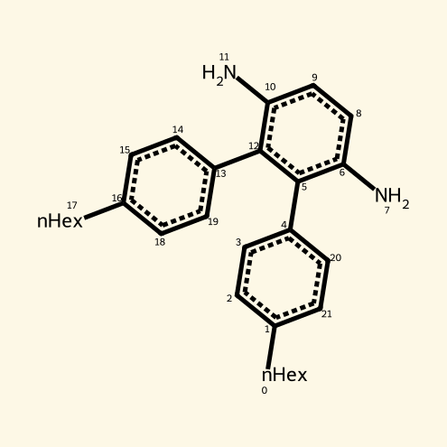 CCCCCCc1ccc(-c2c(N)ccc(N)c2-c2ccc(CCCCCC)cc2)cc1